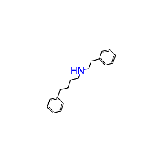 c1ccc(CCCCNCCc2ccccc2)cc1